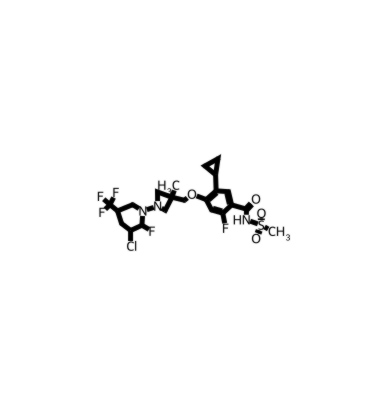 CC1(COc2cc(F)c(C(=O)NS(C)(=O)=O)cc2C2CC2)CN(N2CC(C(F)(F)F)CC(Cl)C2F)C1